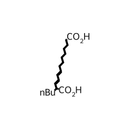 CCCCC(C=CC=CCCCCCCCC(=O)O)C(=O)O